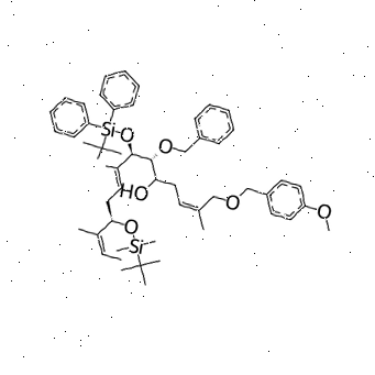 C/C=C(/C)[C@@H](C/C=C(\C)[C@@H](O[Si](c1ccccc1)(c1ccccc1)C(C)(C)C)[C@H](OCc1ccccc1)C(O)C/C=C(/C)COCc1ccc(OC)cc1)O[Si](C)(C)C(C)(C)C